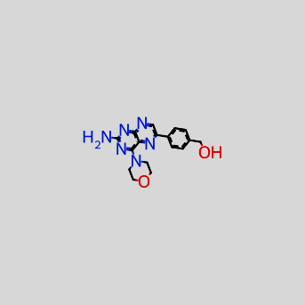 Nc1nc(N2CCOCC2)c2nc(-c3ccc(CO)cc3)cnc2n1